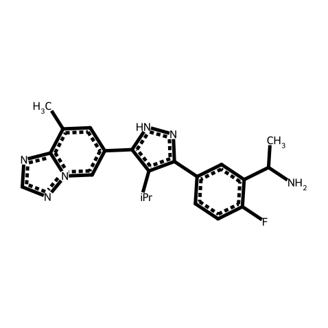 Cc1cc(-c2[nH]nc(-c3ccc(F)c(C(C)N)c3)c2C(C)C)cn2ncnc12